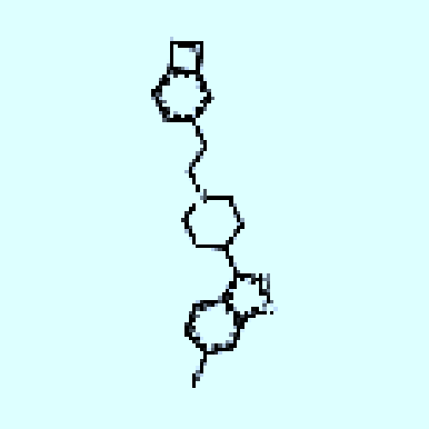 Fc1ccc2c(C3CCN(CCc4ccc5c(c4)C=C5)CC3)noc2c1